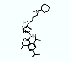 CC(C)c1cc(C(C)C)c(C(=O)Nc2nnc(NCCCNC3CCCCC3)s2)c(C(C)C)c1